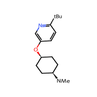 CN[C@H]1CC[C@@H](Oc2ccc(C(C)(C)C)nc2)CC1